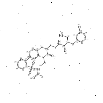 CCCC(=O)N(CCNC(=O)[C@@H](CS)Cc1cccc(Cl)c1)Cc1ccc(-c2ccccc2S(=O)(=O)NC(C)=O)cc1